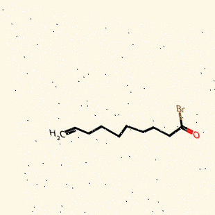 C=CCCCCCCCC(=O)Br